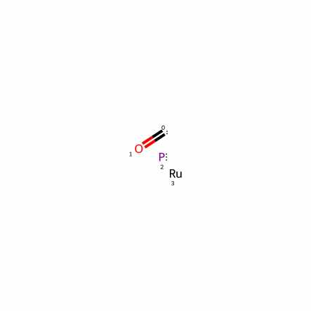 [C]=O.[P].[Ru]